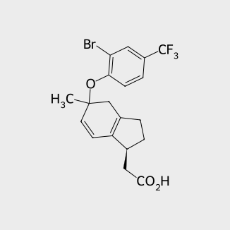 CC1(Oc2ccc(C(F)(F)F)cc2Br)C=CC2=C(CC[C@H]2CC(=O)O)C1